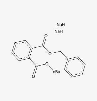 CCCCOC(=O)c1ccccc1C(=O)OCc1ccccc1.[NaH].[NaH]